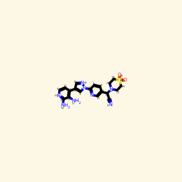 N#CC(c1ccc(-n2cc(-c3ccnc(N)c3N)cn2)nc1)N1CCS(=O)(=O)CC1